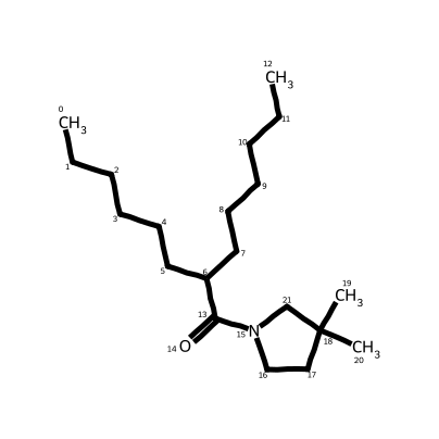 CCCCCCC(CCCCCC)C(=O)N1CCC(C)(C)C1